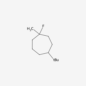 CC1(F)CCCC(C(C)(C)C)CC1